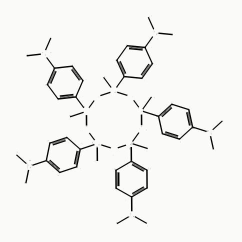 CN(C)c1ccc([Si]2(C)O[Si](C)(c3ccc(N(C)C)cc3)O[Si](C)(c3ccc(N(C)C)cc3)O[Si](C)(c3ccc(N(C)C)cc3)O[Si](C)(c3ccc(N(C)C)cc3)O2)cc1